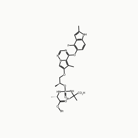 Cc1cc2c(F)c(Oc3ncnn4cc(OC[C@H](C)OP(=O)(N[C@@H](C)C(=O)OC(C)C)NC(C)(C(=O)O)C(C)C)c(C)c34)ccc2[nH]1